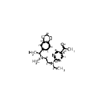 CCN(CCN(C)[C@@H](C)c1ccc2c(c1)OCO2)c1ncc(C(C)=O)cn1